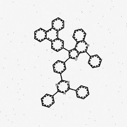 c1ccc(-c2nc(-c3ccccc3)nc(-c3cccc(-c4oc5c(-c6ccccc6)nc6ccccc6c5c4-c4ccc5c6ccccc6c6ccccc6c5c4)c3)n2)cc1